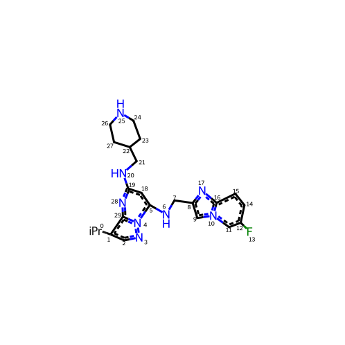 CC(C)c1cnn2c(NCc3cn4cc(F)ccc4n3)cc(NCC3CCNCC3)nc12